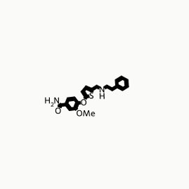 COc1cc(C(N)=O)ccc1Oc1ccc(CNCCc2ccccc2)s1